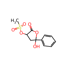 CS(=O)(=O)OC1CC(O)(c2ccccc2)OC1=O